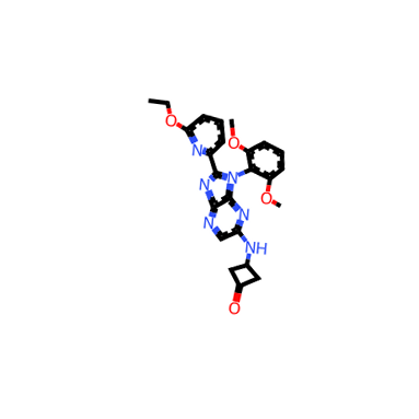 CCOc1cccc(-c2nc3ncc(NC4CC(=O)C4)nc3n2-c2c(OC)cccc2OC)n1